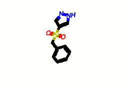 O=S(=O)(Cc1ccccc1)c1cn[nH]c1